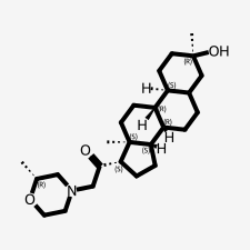 C[C@@H]1CN(CC(=O)[C@H]2CC[C@H]3[C@@H]4CCC5C[C@](C)(O)CC[C@@H]5[C@H]4CC[C@]23C)CCO1